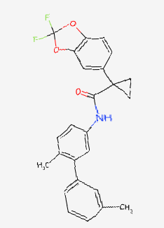 Cc1cccc(-c2cc(NC(=O)C3(c4ccc5c(c4)OC(F)(F)O5)CC3)ccc2C)c1